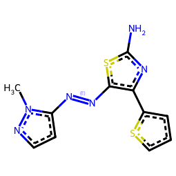 Cn1nccc1/N=N/c1sc(N)nc1-c1cccs1